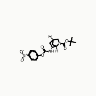 CC(C)(C)OC(=O)N1C[C@H]2C[C@@H](NC(=O)Oc3ccc([N+](=O)[O-])cc3)[C@@H]1C2